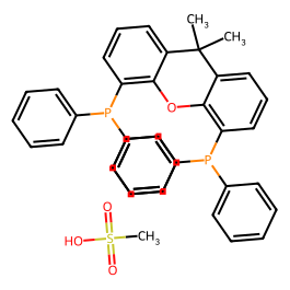 CC1(C)c2cccc(P(c3ccccc3)c3ccccc3)c2Oc2c(P(c3ccccc3)c3ccccc3)cccc21.CS(=O)(=O)O